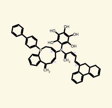 C=C1/C=C\C(N(C(=C)/C=C\C=C2/CC3CC=CC=C3c3ccccc32)c2c(O)c(O)c(O)c(O)c2O)=C/CN(c2ccc(-c3ccccc3)cc2)c2ccccc21